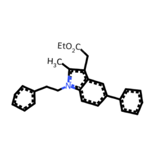 CCOC(=O)Cc1c(C)n(CCc2ccccc2)c2ccc(-c3ccccc3)cc12